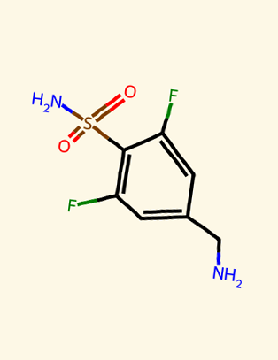 NCc1cc(F)c(S(N)(=O)=O)c(F)c1